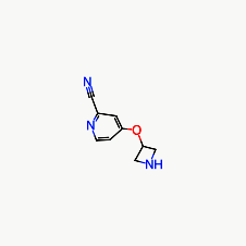 N#Cc1cc(OC2CNC2)ccn1